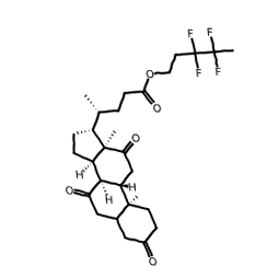 C[C@H](CCC(=O)OCCC(F)(F)C(C)(F)F)[C@H]1CC[C@@H]2[C@@H]3C(=O)CC4CC(=O)CC[C@]4(C)[C@H]3CC(=O)[C@@]21C